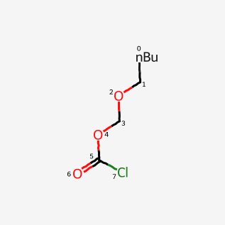 CCCCCOCOC(=O)Cl